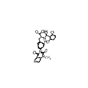 Cn1c(=O)n(-c2ccc(C[C@H](NC(=O)c3c(Cl)cccc3Cl)C(=O)O)cc2)c(=O)c2cnccc21